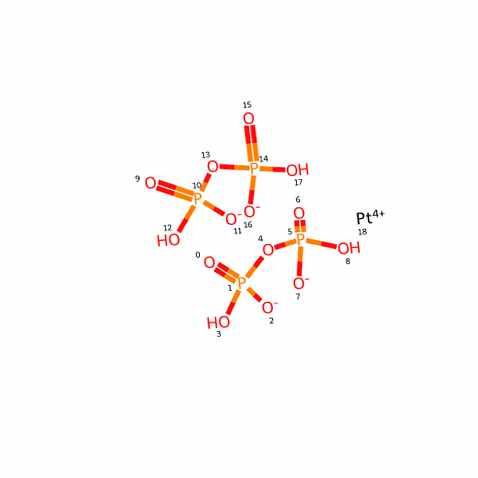 O=P([O-])(O)OP(=O)([O-])O.O=P([O-])(O)OP(=O)([O-])O.[Pt+4]